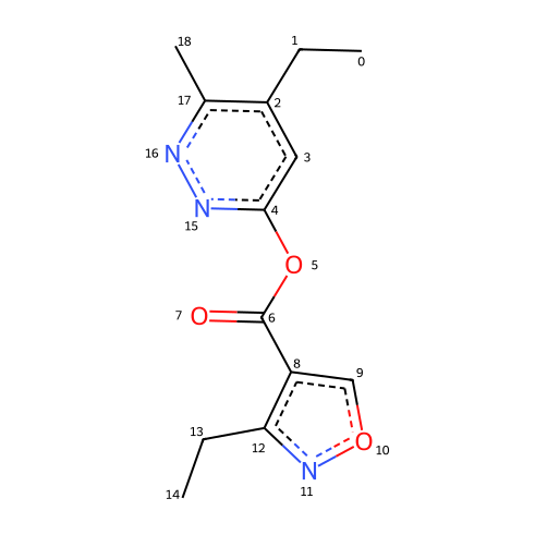 CCc1cc(OC(=O)c2conc2CC)nnc1C